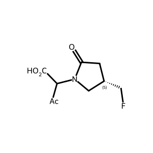 CC(=O)C(C(=O)O)N1C[C@@H](CF)CC1=O